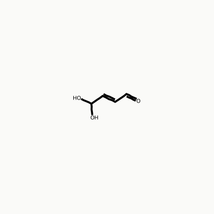 O=C/C=C/C(O)O